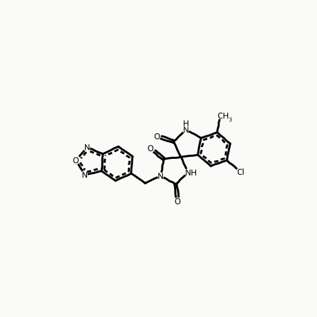 Cc1cc(Cl)cc2c1NC(=O)C21NC(=O)N(Cc2ccc3nonc3c2)C1=O